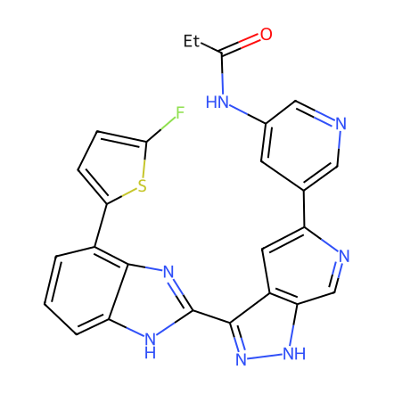 CCC(=O)Nc1cncc(-c2cc3c(-c4nc5c(-c6ccc(F)s6)cccc5[nH]4)n[nH]c3cn2)c1